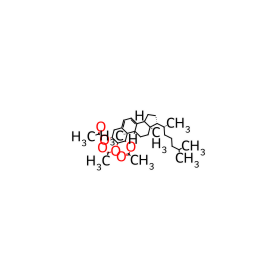 CC(=O)O[C@H]1[C@H](OC(C)=O)CC2=CC=C3[C@@H]4CC[C@H]([C@H](C)CCCC(C)C)[C@@]4(C)CC[C@@H]3[C@@]2(C)[C@H]1OC(C)=O